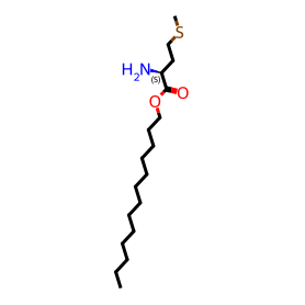 CCCCCCCCCCCCCOC(=O)[C@@H](N)CCSC